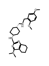 COc1ccc(OC)c(CNC[C@H]2CC[C@@H](Nc3nc4c(c(N(C)C)n3)CCCC4)CC2)c1